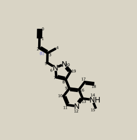 C#C/C=C(\C)Cn1cc(-c2ccnc(NC)c2C=C)cn1